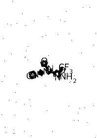 Nc1ncc(-c2cn(C34CC(N5CCOCC5)(C3)C4)c(C3CCOC3)n2)cc1OC(F)(F)F